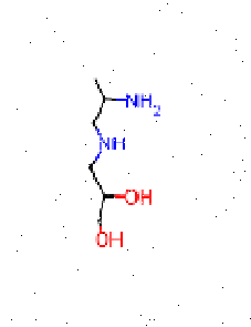 CC(N)CNCC(O)CO